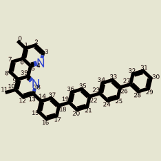 Cc1ccnc2c1ccc1c(C)cc(-c3cccc(-c4ccc(-c5ccc(-c6ccccc6)cc5)cc4)c3)nc12